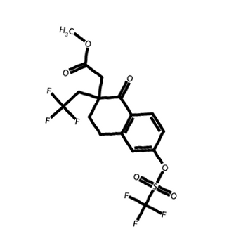 COC(=O)CC1(CC(F)(F)F)CCc2cc(OS(=O)(=O)C(F)(F)F)ccc2C1=O